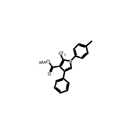 COC(=O)c1c(-c2ccccc2)cn(-c2ccc(C)cc2)c1C(F)(F)F